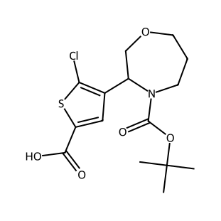 CC(C)(C)OC(=O)N1CCCOCC1c1cc(C(=O)O)sc1Cl